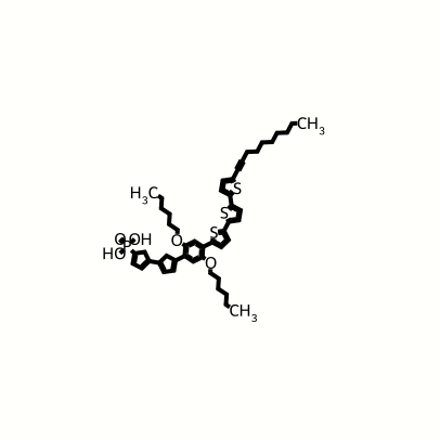 CCCCCCCCC#Cc1ccc(-c2ccc(-c3ccc(-c4cc(OCCCCCC)c(C5=CC=C(C6=CC=C(P(=O)(O)O)C6)C5)cc4OCCCCCC)s3)s2)s1